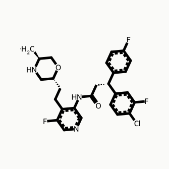 [CH2][C@H]1CO[C@H](CCc2c(F)cncc2NC(=O)C[C@H](c2ccc(F)cc2)c2ccc(Cl)c(F)c2)CN1